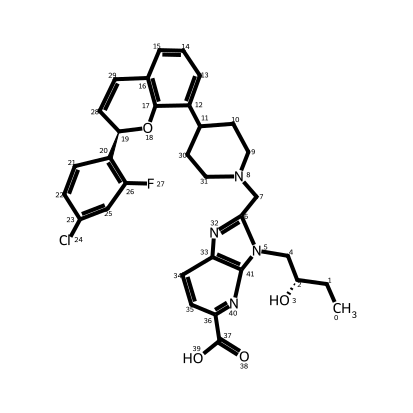 CC[C@H](O)Cn1c(CN2CCC(c3cccc4c3O[C@@H](c3ccc(Cl)cc3F)C=C4)CC2)nc2ccc(C(=O)O)nc21